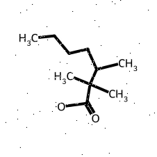 CCCCC(C)C(C)(C)C([O])=O